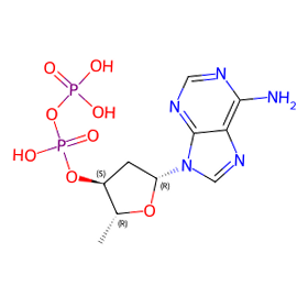 C[C@H]1O[C@@H](n2cnc3c(N)ncnc32)C[C@@H]1OP(=O)(O)OP(=O)(O)O